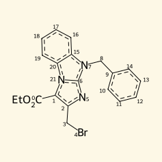 CCOC(=O)c1c(CBr)nc2n(Cc3ccccc3)c3ccccc3n12